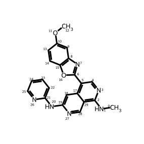 CNc1ncc(-c2nc3cc(OC)ccc3o2)c2cc(Nc3ccccn3)ncc12